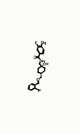 O=C(NC[C@]1(O)CC[C@H](COCc2ccccc2F)CC1)c1ccc(O)c(F)c1